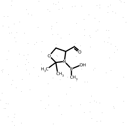 CB(O)N1C(C=O)COC1(C)C